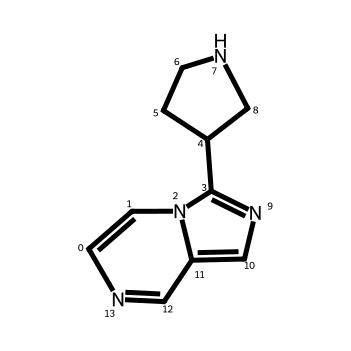 c1cn2c(C3CCNC3)ncc2cn1